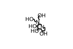 OCCN(CCO)[C@H]1CN2CC[C@H](O)C2[C@@H](O)[C@@H]1O